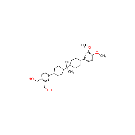 COc1ccc(C2CCC(C(C)(C)C3CCC(c4ccc(CO)c(CO)c4)CC3)CC2)cc1OC